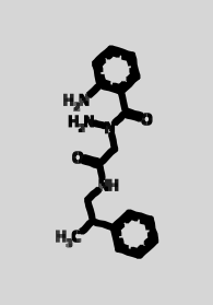 CC(CNC(=O)CN(N)C(=O)c1ccccc1N)c1ccccc1